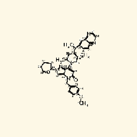 COc1ccc(Cn2c(=O)cc(N3C[C@@H](C)N(C(C)c4ccc5nccnc5c4)C[C@@H]3C)c3nn(C4CCCCO4)cc32)cc1